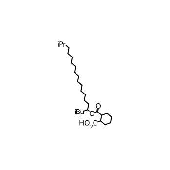 CCC(C)C(CCCCCCCCCCCCCC(C)C)OC(=O)C1CCCCC1C(=O)O